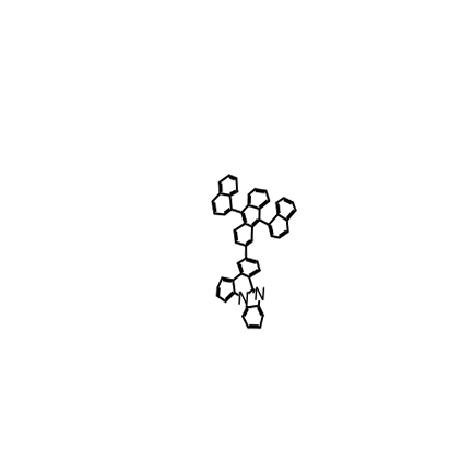 c1ccc2c(-c3c4ccccc4c(-c4cccc5ccccc45)c4cc(-c5ccc6c(c5)c5ccccc5n5c7ccccc7nc65)ccc34)cccc2c1